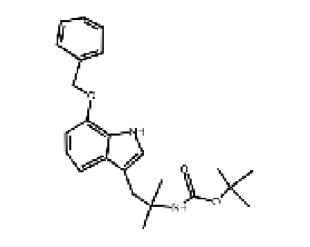 CC(C)(Cc1c[nH]c2c(OCc3ccccc3)cccc12)NC(=O)OC(C)(C)C